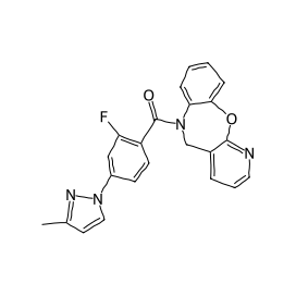 Cc1ccn(-c2ccc(C(=O)N3Cc4cccnc4Oc4ccccc43)c(F)c2)n1